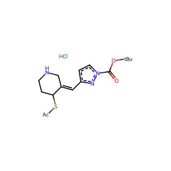 CC(=O)SC1CCNCC1=Cc1ccn(C(=O)OC(C)(C)C)n1.Cl